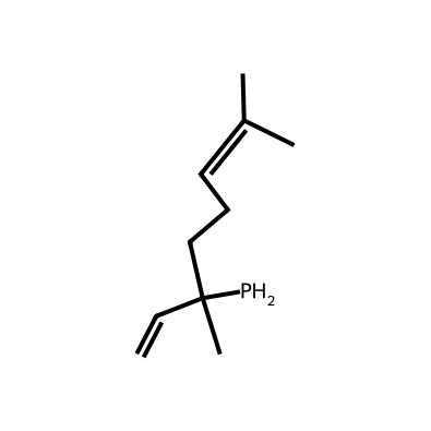 C=CC(C)(P)CCC=C(C)C